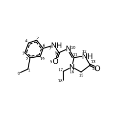 CCc1cccc(NC(=O)N=C2NC(=O)CN2CC)c1